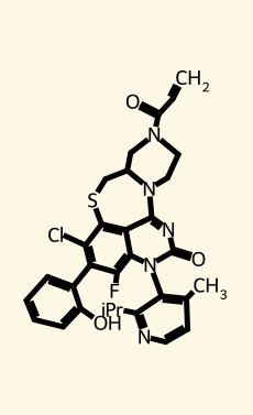 C=CC(=O)N1CCN2c3nc(=O)n(-c4c(C)ccnc4C(C)C)c4c(F)c(-c5ccccc5O)c(Cl)c(c34)SCC2C1